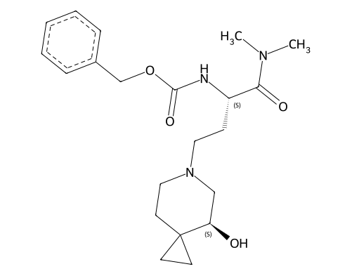 CN(C)C(=O)[C@H](CCN1CCC2(CC2)[C@H](O)C1)NC(=O)OCc1ccccc1